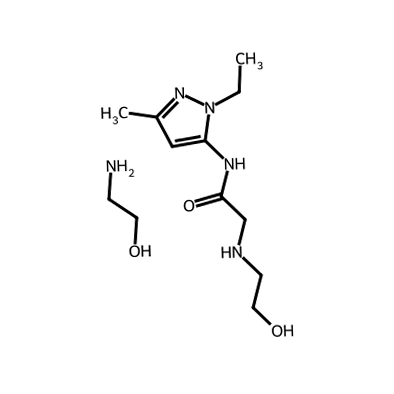 CCn1nc(C)cc1NC(=O)CNCCO.NCCO